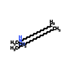 CCCCCCCCCCCCCCCCCCNC(C)C.CCCCCCCCCCCCCCCCCCNCCCC